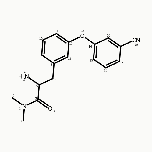 CN(C)C(=O)C(N)Cc1cccc(Oc2cccc(C#N)c2)c1